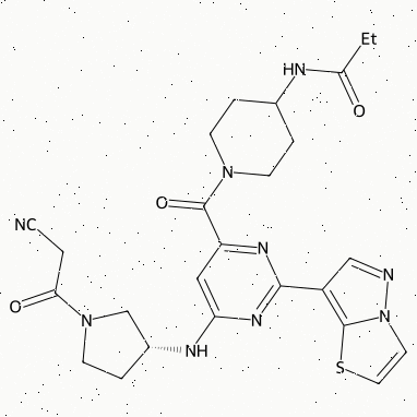 CCC(=O)NC1CCN(C(=O)c2cc(N[C@@H]3CCN(C(=O)CC#N)C3)nc(-c3cnn4ccsc34)n2)CC1